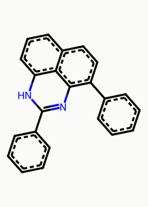 c1ccc(C2=Nc3c(-c4ccccc4)ccc4cccc(c34)N2)cc1